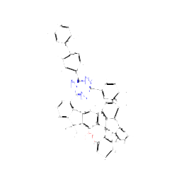 CC1(C)c2cccc(-c3nc(-c4ccccc4)nc(-c4ccc(-c5ccccc5)cc4)n3)c2-c2ccc3c(c21)Oc1ccccc1C31c2ccccc2-c2ccccc21